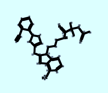 C#Cc1ccccc1C1OC=C(Sc2nc3c(N)ncnc3n2CCCNC(=O)C(C)(C)OC(C)=O)O1